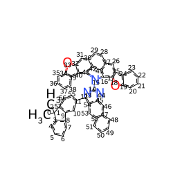 CC1(C)c2ccccc2-c2cc(-c3nc(-n4c5c6oc7ccccc7c6cc6ccc7cc8oc9ccccc9c8c4c7c65)nc4cc5ccccc5cc34)ccc21